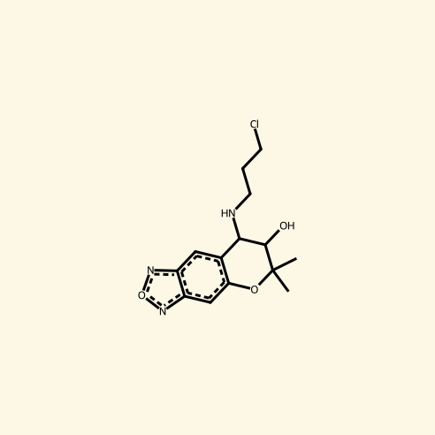 CC1(C)Oc2cc3nonc3cc2C(NCCCCl)C1O